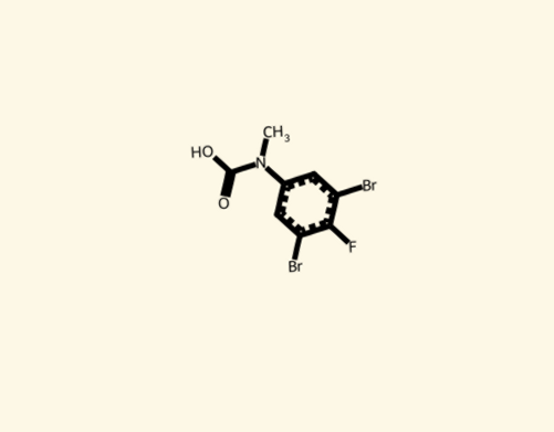 CN(C(=O)O)c1cc(Br)c(F)c(Br)c1